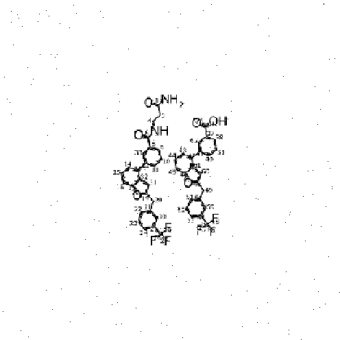 NC(=O)CCNC(=O)c1cccc(-c2cccc3oc(Cc4cccc(C(F)(F)F)c4)cc23)c1.O=C(O)c1cccc(-c2cccc3oc(Cc4cccc(C(F)(F)F)c4)cc23)c1